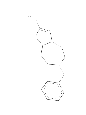 COC1=NC2CCN(Cc3ccccc3)CCC2S1